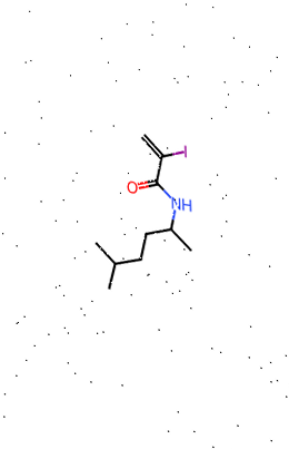 C=C(I)C(=O)NC(C)CCC(C)C